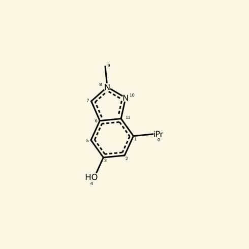 CC(C)c1cc(O)cc2cn(C)nc12